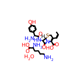 C/C=C\C1=C(C(=O)O)N2C(=O)[C@@H](NC(=O)[C@H](N)c3ccc(O)cc3)[C@H]2SC1.NCCCCC(N)C(=O)O.O